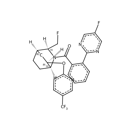 O=C(c1ccccc1-c1ncc(F)cn1)N1[C@H](CF)[C@@H]2CC[C@H]1[C@H](Oc1ccc(C(F)(F)F)cn1)C2